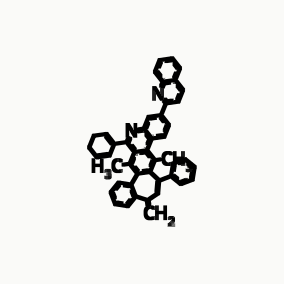 C=C1C=C(c2ccccc2)c2c(c(C)c3c(C4=CCCC=C4)nc4cc(-c5ccc6ccccc6n5)ccc4c3c2C)-c2ccccc21